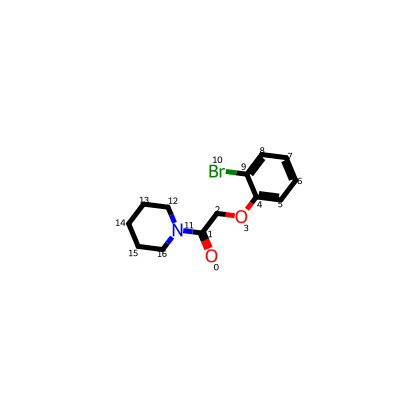 O=C(COc1ccccc1Br)N1CCCCC1